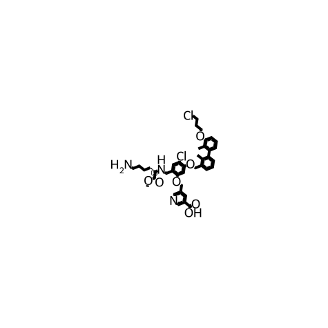 COC(=O)[C@H](CCCCN)NCc1cc(Cl)c(OCc2cccc(-c3cccc(OCCCCl)c3C)c2C)cc1OCc1cncc(C(=O)O)c1